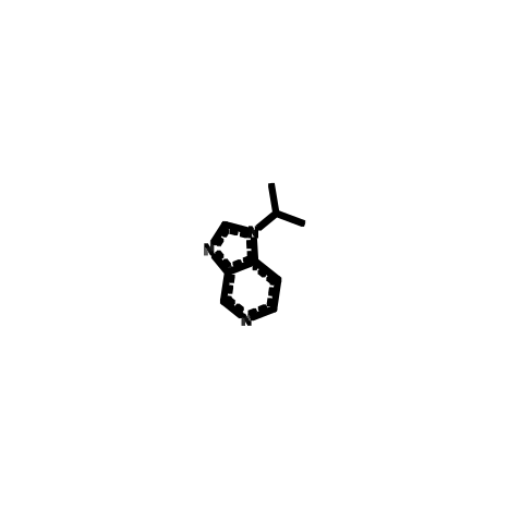 CC(C)n1cnc2cnccc21